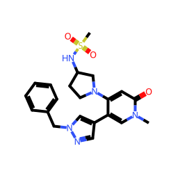 Cn1cc(-c2cnn(Cc3ccccc3)c2)c(N2CCC(NS(C)(=O)=O)C2)cc1=O